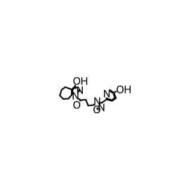 O=C(CCc1nc(-c2ccc(O)cn2)no1)n1nc(O)c2c1CCCCC2